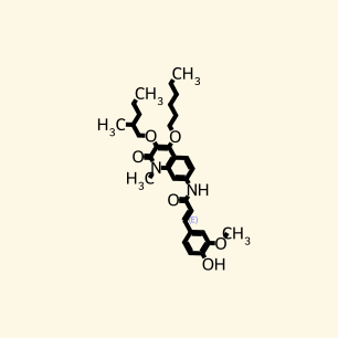 CCCCCCOc1c(OCC(C)CCC)c(=O)n(C)c2cc(NC(=O)/C=C/c3ccc(O)c(OC)c3)ccc12